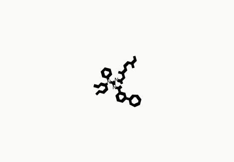 C=C/C=C(\C=C/CC)N(C(=N/C(=C)c1cccc(C2=CC=CC=CC2)c1)/N=C(\C)C/C(C)=C/C=C\C(C)=C/C)c1ccccc1